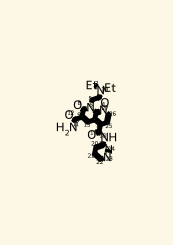 CCN(CC)C(=O)Cn1c(=O)c(C(N)=O)cc2c(C(=O)Nc3cccnn3)ccnc21